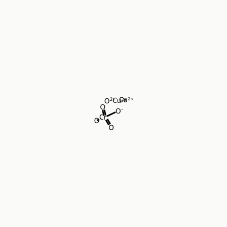 [Cu+2].[Cu+2].[O-2].[O]=[Cr](=[O])([O-])[O-]